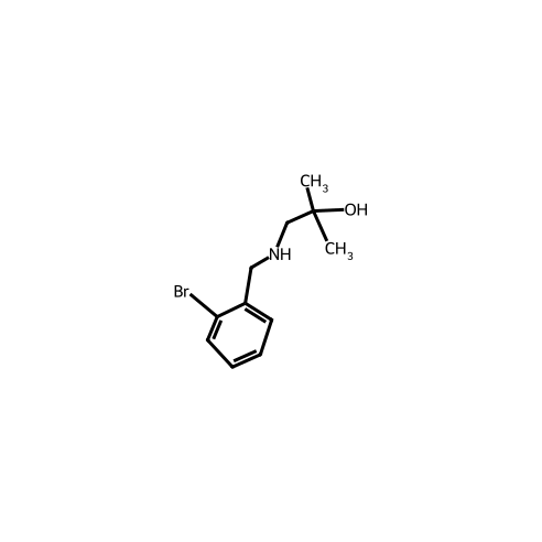 CC(C)(O)CNCc1ccccc1Br